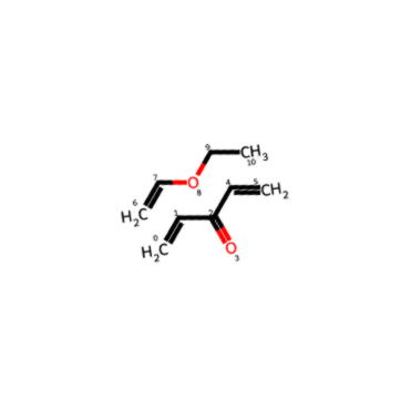 C=CC(=O)C=C.C=COCC